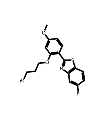 COc1ccc(-c2nc3cc(F)ccc3s2)c(OCCCBr)c1